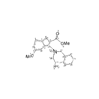 COC(=O)c1sc2ccc(OC)cc2c1N(CCN)Cc1ccccc1